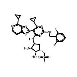 CS(=O)(=O)C[C@H]1CC(Nc2nc(NCc3c(F)cccc3F)nc(C3CC3)c2-c2nc3c(C4CC4)nccc3s2)[C@H](O)[C@@H]1O